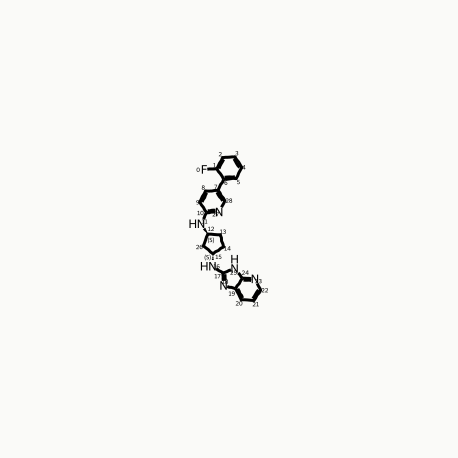 Fc1ccccc1-c1ccc(N[C@H]2CC[C@H](Nc3nc4cccnc4[nH]3)C2)nc1